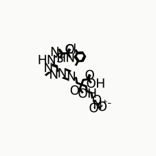 Cc1nc(Nc2ncc(C(=O)Nc3c(C)cccc3Cl)s2)cc(N2CCN(CCC(CCCCO[N+](=O)[O-])(CC(=O)O)C(=O)O)CC2)n1